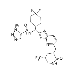 CC(C)n1nncc1C(=O)NC(c1cn2nc(CC3C[C@@H](C(F)(F)F)CNC3=O)ccc2n1)C1CCC(F)(F)CC1